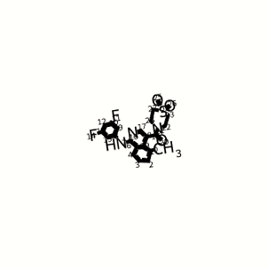 Cc1cccc2c(Nc3cc(F)cc(F)c3)ncc(C(=O)N3CCS(=O)(=O)CC3)c12